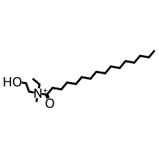 CCCCCCCCCCCCCCCC(=O)[N+](C)(CC)CCO